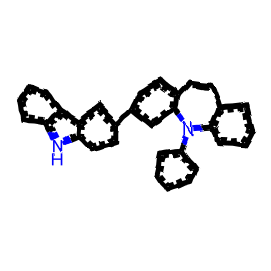 C1=Cc2ccc(-c3ccc4[nH]c5ccccc5c4c3)cc2N(c2ccccc2)c2ccccc21